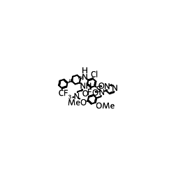 COc1ccc(CN(c2ccncn2)S(=O)(=O)c2cc(Cl)c(N[C@H]3CC[C@H](c4cccc(C(F)(F)F)c4)CC3NC(=O)CN(C)C)cc2F)c(OC)c1